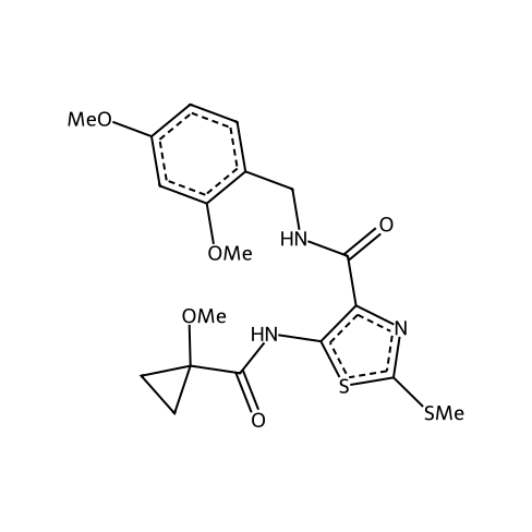 COc1ccc(CNC(=O)c2nc(SC)sc2NC(=O)C2(OC)CC2)c(OC)c1